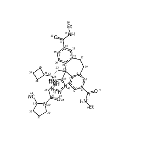 CCNC(=O)c1ccc2c(c1)CCc1cc(C(=O)NCC)ccc1C2(C[C@H](NCC(=O)N1CCCC1C#N)C1CCC1)c1nnn[nH]1